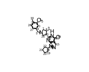 COc1cc(CN2C[C@@H](C)[C@H](c3nc4c(cnn4C4CCCC4)c(=O)[nH]3)C2)ccc1C